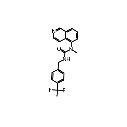 CN(C(=O)NCc1ccc(C(F)(F)F)cc1)c1cccc2cnccc12